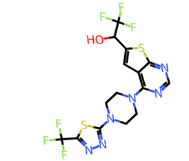 OC(c1cc2c(N3CCN(c4nnc(C(F)(F)F)s4)CC3)ncnc2s1)C(F)(F)F